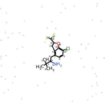 CC(C)(C)C(N)Cc1ccc(Cl)c2c1CC(C(F)F)O2